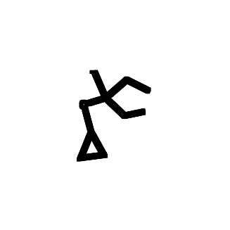 [CH2]C(CC)(CC)OC1CC1